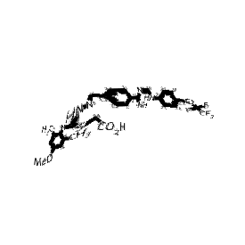 COc1cc(C)c(/N=C(/N/N=C/c2ccc(C(=N)/N=C\Nc3ccc(OC(F)(F)C(F)(F)F)cc3)cc2)SCC(=O)O)c(C)c1